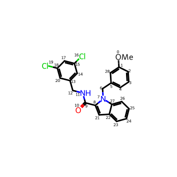 COc1cccc(Cn2c(C(=O)NCc3cc(Cl)cc(Cl)c3)cc3ccccc32)c1